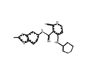 Cc1nc2ccc(NC(=N)c3c(NC4CCCCC4)cc[nH]c3=O)cc2s1